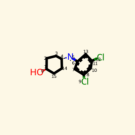 O[C@H]1CC[C@H]([N]c2cc(Cl)cc(Cl)c2)CC1